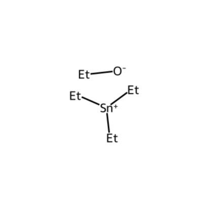 CC[O-].C[CH2][Sn+]([CH2]C)[CH2]C